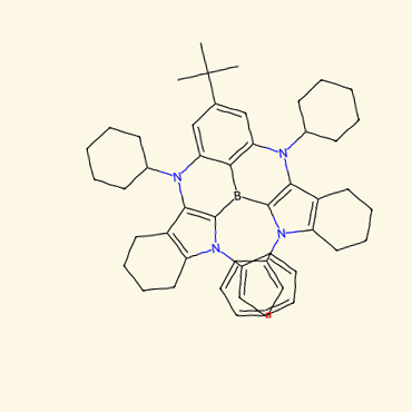 CC(C)(C)c1cc2c3c(c1)N(C1CCCCC1)c1c4c(n(-c5ccccc5)c1B3c1c(c3c(n1-c1ccccc1)CCCC3)N2C1CCCCC1)CCCC4